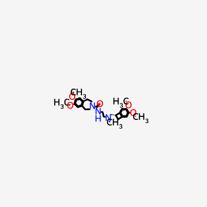 COc1cc2c(cc1OC)CCN(C(=O)NCCN(C)C[C@H]1Cc3cc(OC)c(OC)cc31)CC2